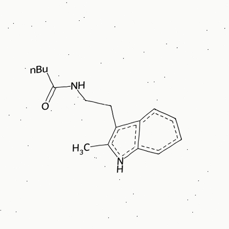 CCCCC(=O)NCCc1c(C)[nH]c2ccccc12